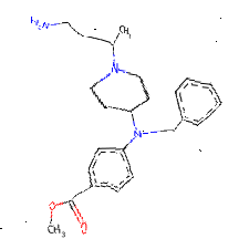 COC(=O)c1ccc(N(Cc2ccccc2)C2CCN(C(C)CCN)CC2)cc1